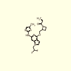 C=CC(=O)N1CCC1COc1nc(Nc2ncc(C)s2)cc2c1ccn2CC(F)F